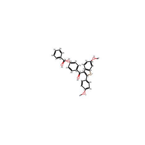 COc1ccc(-c2sc3cc(OC)ccc3c2C(=O)c2ccc(OC(=O)c3ccccc3)cc2)cc1